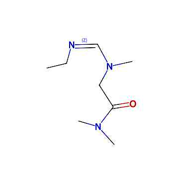 CC/N=C\N(C)CC(=O)N(C)C